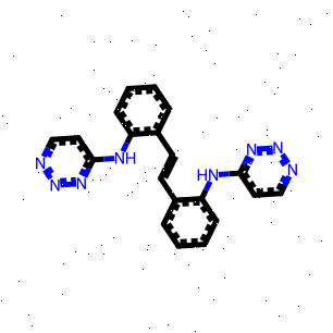 C(=C\c1ccccc1Nc1ccnnn1)/c1ccccc1Nc1ccnnn1